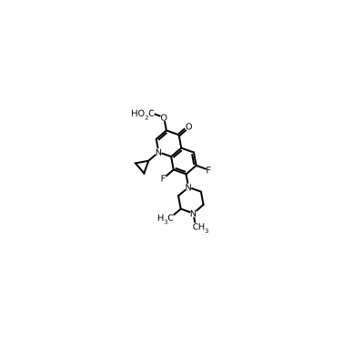 CC1CN(c2c(F)cc3c(=O)c(OC(=O)O)cn(C4CC4)c3c2F)CCN1C